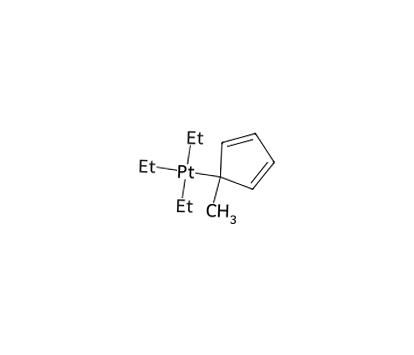 C[CH2][Pt]([CH2]C)([CH2]C)[C]1(C)C=CC=C1